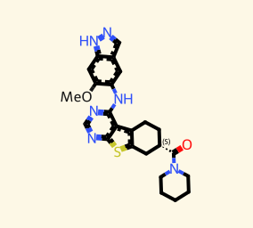 COc1cc2[nH]ncc2cc1Nc1ncnc2sc3c(c12)CC[C@H](C(=O)N1CCCCC1)C3